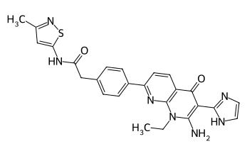 CCn1c(N)c(-c2ncc[nH]2)c(=O)c2ccc(-c3ccc(CC(=O)Nc4cc(C)ns4)cc3)nc21